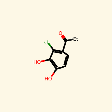 CCC(=O)c1ccc(O)c(O)c1Cl